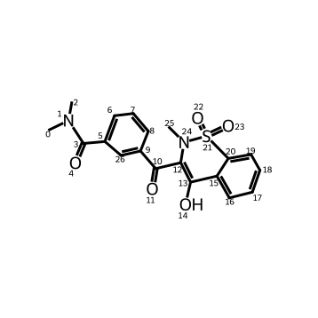 CN(C)C(=O)c1cccc(C(=O)C2=C(O)c3ccccc3S(=O)(=O)N2C)c1